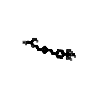 CC(C)OCCN1CC(CCc2cnc(C(C)(C)C)cn2)C1